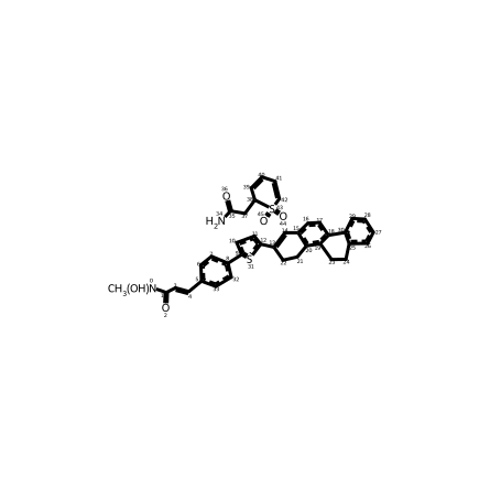 CN(O)C(=O)C=Cc1ccc(-c2ccc(C3=Cc4ccc5c(c4CC3)CCc3ccccc3-5)s2)cc1.NC(=O)CC1C=CC=CS1(=O)=O